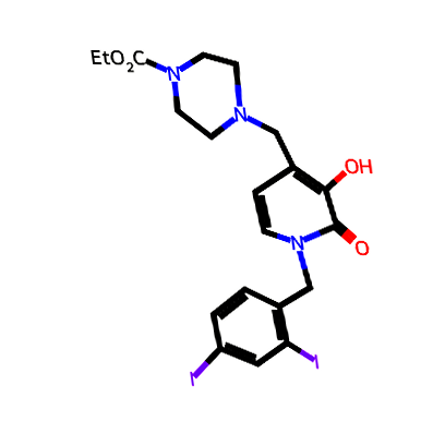 CCOC(=O)N1CCN(Cc2ccn(Cc3ccc(I)cc3I)c(=O)c2O)CC1